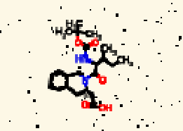 CCC(C)C(NC(=O)OC(C)(C)C)C(=O)N1Cc2ccccc2C[C@@H]1CC(=O)O